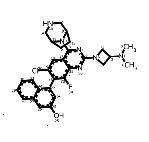 CN(C)C1CN(c2nc(N3C4CCC3CNC4)c3cc(Cl)c(-c4cc(O)cc5ccccc45)c(F)c3n2)C1